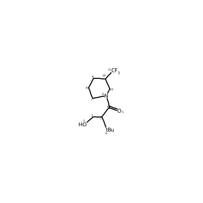 CC(C)(C)C(CO)C(=O)N1CCCC(C(F)(F)F)C1